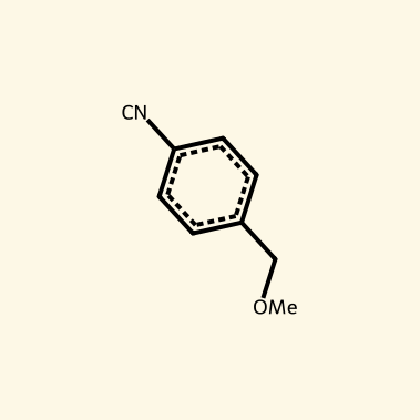 [C-]#[N+]c1ccc(COC)cc1